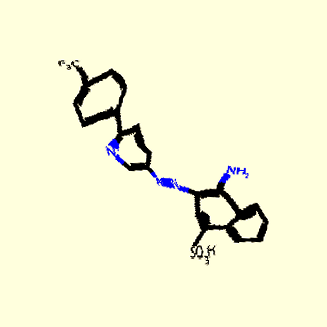 Nc1c(N=Nc2ccc(-c3ccc(C(F)(F)F)cc3)nc2)cc(S(=O)(=O)O)c2ccccc12